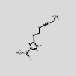 CCC#CCCCn1cc(C(C)=O)cn1